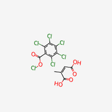 C/C(=C/C(=O)O)C(=O)O.O=C(OCl)c1c(Cl)c(Cl)c(Cl)c(Cl)c1Cl